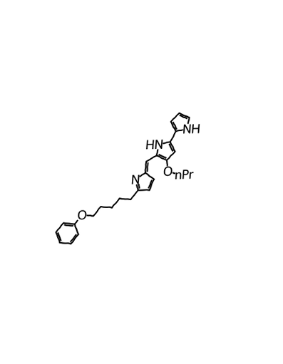 CCCOc1cc(-c2ccc[nH]2)[nH]c1/C=C1\C=CC(CCCCCOc2ccccc2)=N1